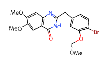 COCOc1cc(Cc2nc3cc(OC)c(OC)cc3c(=O)[nH]2)ccc1Br